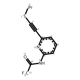 CC(C)SC#Cc1cccc(NC(=O)C(F)(F)F)n1